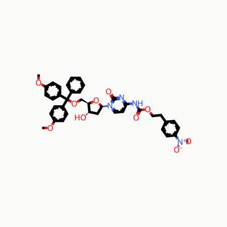 COc1ccc(C(OC[C@H]2O[C@@H](n3ccc(NC(=O)OCCc4ccc([N+](=O)[O-])cc4)nc3=O)C[C@@H]2O)(c2ccccc2)c2ccc(OC)cc2)cc1